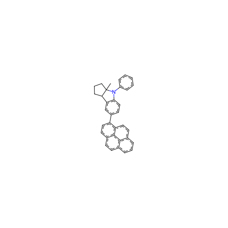 CC12CCCC1c1cc(-c3ccc4ccc5cccc6ccc3c4c56)ccc1N2c1ccccc1